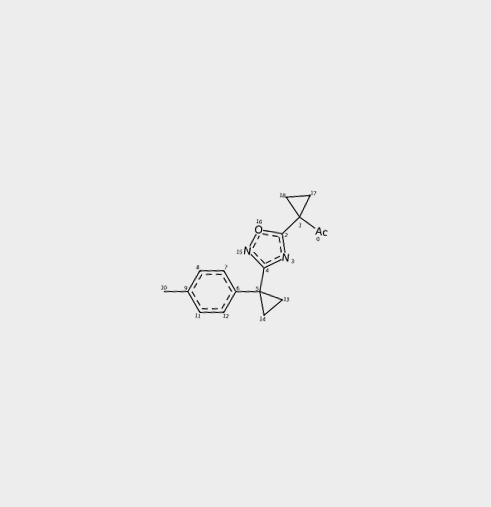 CC(=O)C1(c2nc(C3(c4ccc(C)cc4)CC3)no2)CC1